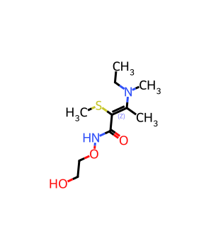 CCN(C)/C(C)=C(\SC)C(=O)NOCCO